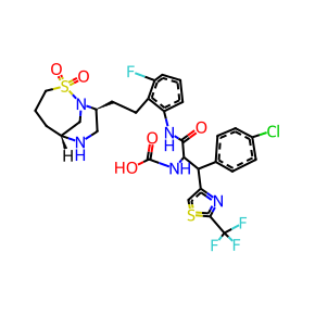 O=C(O)NC(C(=O)Nc1cccc(F)c1CC[C@H]1CN[C@@H]2CCCS(=O)(=O)N1C2)C(c1ccc(Cl)cc1)c1csc(C(F)(F)F)n1